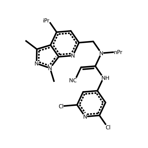 CCCN(Cc1cc(C(C)C)c2c(C)nn(C)c2n1)/C(=C/C#N)Nc1cc(Cl)nc(Cl)c1